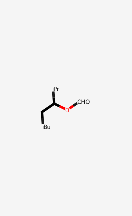 CCC(C)CC(OC=O)C(C)C